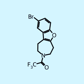 O=C(N1CCc2oc3ccc(Br)cc3c2CC1)C(F)(F)F